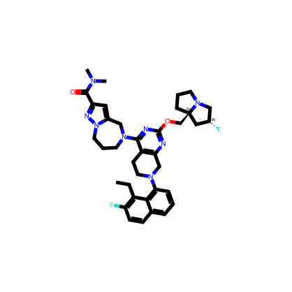 CCc1c(F)ccc2cccc(N3CCc4c(nc(OC[C@@]56CCCN5C[C@H](F)C6)nc4N4CCCn5nc(C(=O)N(C)C)cc5C4)C3)c12